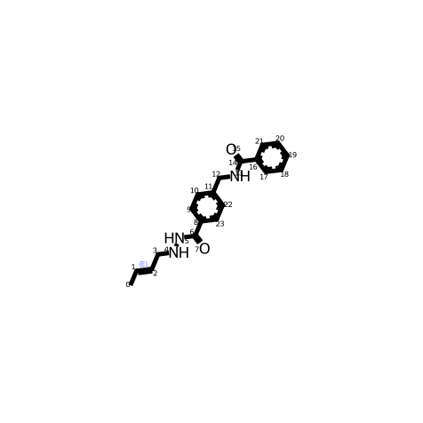 C/C=C/CNNC(=O)c1ccc(CNC(=O)c2ccccc2)cc1